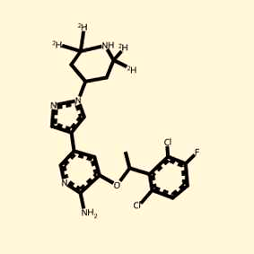 [2H]C1([2H])CC(n2cc(-c3cnc(N)c(OC(C)c4c(Cl)ccc(F)c4Cl)c3)cn2)CC([2H])([2H])N1